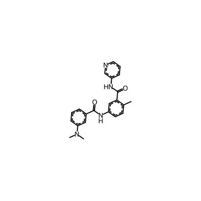 Cc1ccc(NC(=O)c2cccc(N(C)C)c2)cc1C(=O)Nc1cccnc1